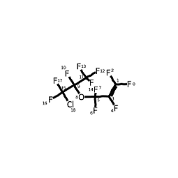 FC(F)=C(F)C(F)(F)OC(F)(C(F)(F)F)C(F)(F)Cl